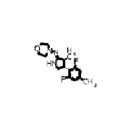 Cc1cc(F)c([C@@H]2CN/C(=N\N3CCOCC3)[C@H]2C)c(F)c1